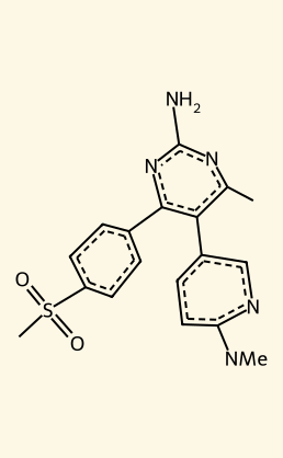 CNc1ccc(-c2c(C)nc(N)nc2-c2ccc(S(C)(=O)=O)cc2)cn1